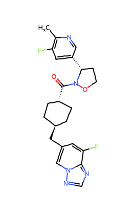 Cc1ncc([C@@H]2CCON2C(=O)[C@H]2CC[C@H](Cc3cc(F)c4ncnn4c3)CC2)cc1F